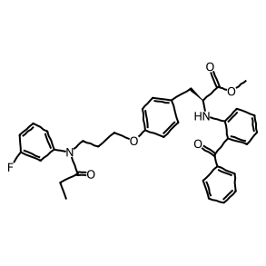 CCC(=O)N(CCCOc1ccc(C[C@H](Nc2ccccc2C(=O)c2ccccc2)C(=O)OC)cc1)c1cccc(F)c1